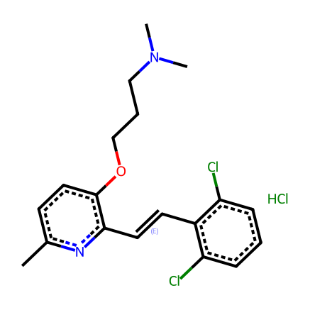 Cc1ccc(OCCCN(C)C)c(/C=C/c2c(Cl)cccc2Cl)n1.Cl